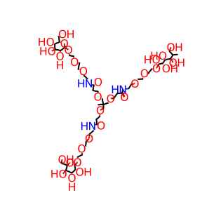 CC(CO)C(O)C(O)C(O)C(O)OCCOCCOCCNC(=O)CCOCC(C)(COCCC(=O)NCCOCCOCCOC1OC(CO)C(O)C(O)C1O)COCCC(=O)NCCOCCOCCOC1OC(CO)C(O)C(O)C1O